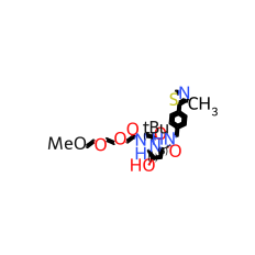 COCCOCCOCC(=O)N[C@H](C(=O)N1C[C@H](O)C[C@H]1C(=O)NCc1ccc(-c2scnc2C)cc1)C(C)(C)C